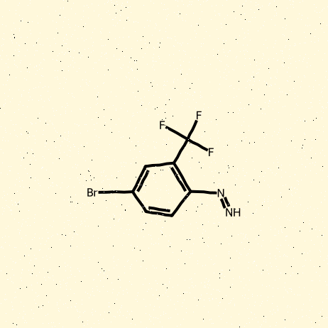 N=Nc1ccc(Br)cc1C(F)(F)F